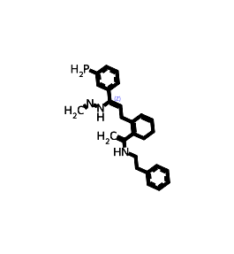 C=NN/C(=C\CC1=C(C(=C)NCCc2ccccc2)CCC=C1)c1cccc(P)c1